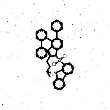 CCCCC1=Cc2c(ccc(-c3ccccc3)c2-c2ccccc2-c2ccccc2)[CH]1[Zr]([Cl])([Cl])[c]1cccc2c1[SiH2]c1ccccc1-2